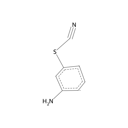 N#CSc1cc[c]c(N)c1